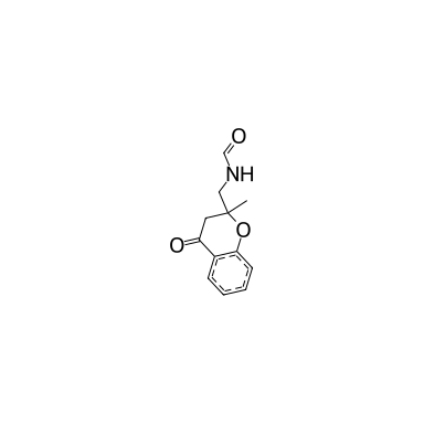 CC1(CNC=O)CC(=O)c2ccccc2O1